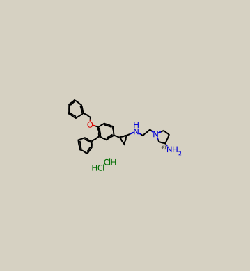 Cl.Cl.N[C@@H]1CCN(CCNC2CC2c2ccc(OCc3ccccc3)c(-c3ccccc3)c2)C1